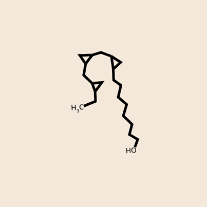 CCC1CC1CC1CC1CC1CC1CCCCCCCCO